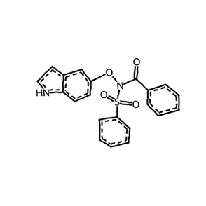 O=C(c1ccccc1)N(Oc1ccc2[nH]ccc2c1)S(=O)(=O)c1ccccc1